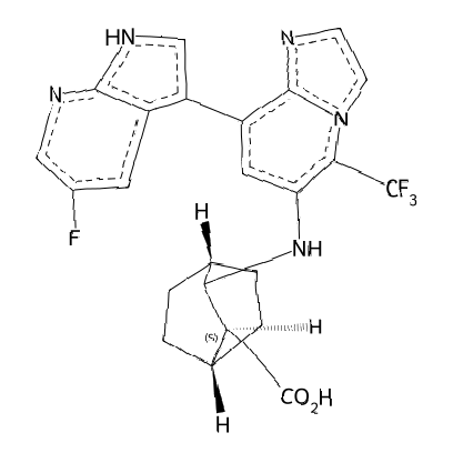 O=C(O)[C@@H]1C(Nc2cc(-c3c[nH]c4ncc(F)cc34)c3nccn3c2C(F)(F)F)[C@H]2CC[C@@H]1CC2